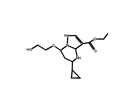 CCOC(=O)C1=CNN2C(OCCO)CC(C3CC3)NC12